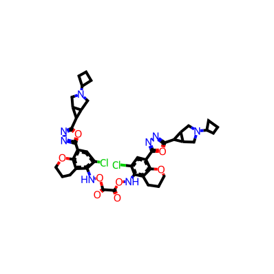 O=C(ONc1c(Cl)cc(-c2nnc(C3C4CN(C5CCC5)CC43)o2)c2c1CCCO2)C(=O)ONc1c(Cl)cc(-c2nnc(C3C4CN(C5CCC5)CC43)o2)c2c1CCCO2